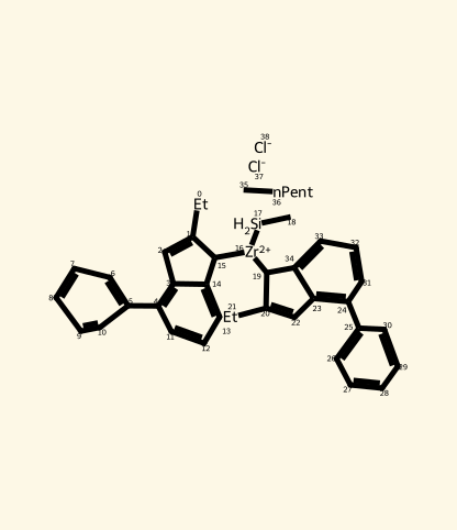 CCC1=Cc2c(-c3ccccc3)cccc2[CH]1[Zr+2]([SiH2]C)[CH]1C(CC)=Cc2c(-c3ccccc3)cccc21.CCCCCC.[Cl-].[Cl-]